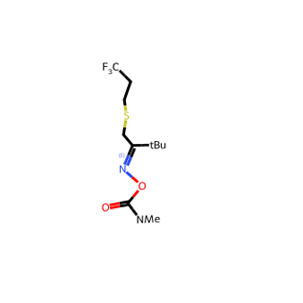 CNC(=O)O/N=C(/CSCCC(F)(F)F)C(C)(C)C